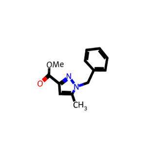 COC(=O)c1cc(C)n(Cc2ccccc2)n1